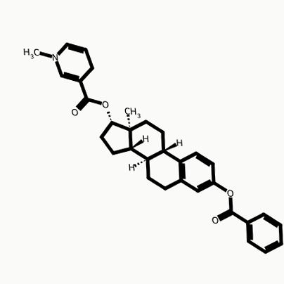 CN1C=CCC(C(=O)O[C@H]2CC[C@H]3[C@@H]4CCc5cc(OC(=O)c6ccccc6)ccc5[C@H]4CC[C@]23C)=C1